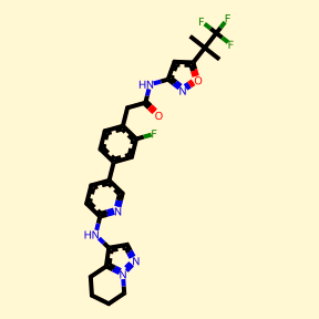 CC(C)(c1cc(NC(=O)Cc2ccc(-c3ccc(Nc4cnn5c4CCCC5)nc3)cc2F)no1)C(F)(F)F